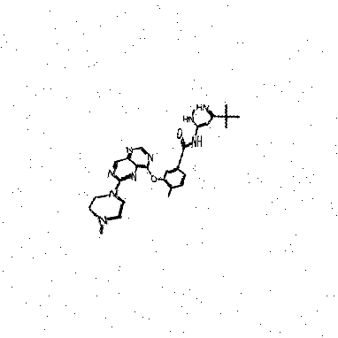 CN/C(=C\C(=N)C(C)(C)C)NC(=O)c1ccc(C)c(Oc2ncnc3cnc(N4CCN(C)CC4)nc23)c1